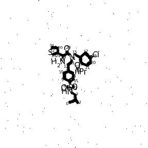 C=C(C)CNS(=O)(=O)c1ccc(CCN(Cc2cc(Cl)ccc2OCCC)C(=O)[C@@H](N)c2ccsc2)cc1